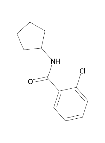 O=C(NC1CCCC1)c1ccccc1Cl